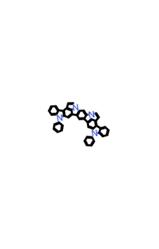 c1ccc(-n2c3ccccc3c3c4ccn5c6cc7c(cc6c(cc32)c45)c2cc3c(c4ccccc4n3-c3ccccc3)c3ccn7c23)cc1